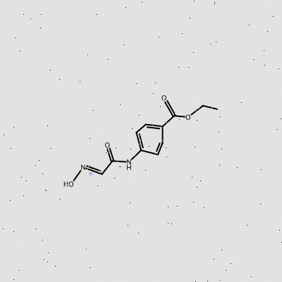 CCOC(=O)c1ccc(NC(=O)/C=N/O)cc1